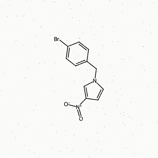 O=[N+]([O-])c1ccn(Cc2ccc(Br)cc2)c1